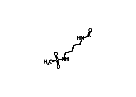 CS(=O)(=O)NCCCCN[C]=O